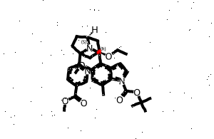 CCO[C@@H]1C[C@@H]2CCC(c3ccc(C(=O)OC)cn3)(C1)N2Cc1c(OC)cc(C)c2c1ccn2C(=O)OC(C)(C)C